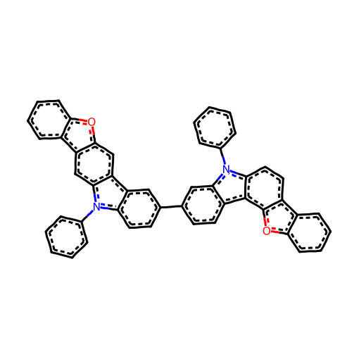 c1ccc(-n2c3ccc(-c4ccc5c6c7oc8ccccc8c7ccc6n(-c6ccccc6)c5c4)cc3c3cc4oc5ccccc5c4cc32)cc1